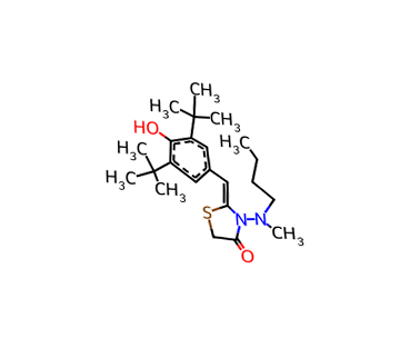 CCCCN(C)N1C(=O)CSC1=Cc1cc(C(C)(C)C)c(O)c(C(C)(C)C)c1